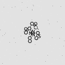 CC1C=Cc2c(oc3cccc(-c4cc(-c5nc(-c6ccc7ccccc7c6)nc(-c6cccc7sc8ccccc8c67)n5)c5c(c4)oc4ccccc45)c23)C1